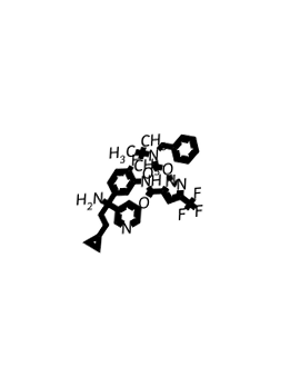 CC(C)(C)N(Cc1ccccc1)C(=O)On1nc(C(F)(F)F)cc1C(=O)Nc1cc(C(N)(CCC2CC2)c2cccnc2)ccc1F